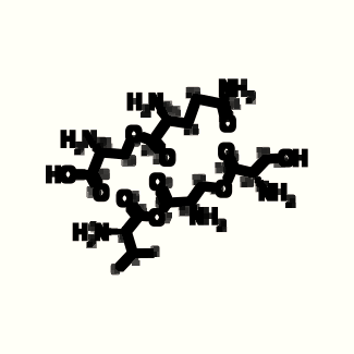 CC(C)[C@H](N)C(=O)OC(=O)[C@@H](N)COC(=O)[C@@H](N)CO.NC(=O)CC[C@H](N)C(=O)OC[C@H](N)C(=O)O